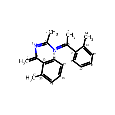 C=C(/N=C(C)\N=C(/C)c1ccccc1C)c1ccccc1C